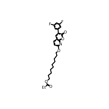 CCC(=O)OCCCCCCCCCCOc1ccc2cc(-c3cc(F)cc(F)c3)c(=O)oc2n1